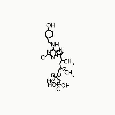 CO[C@H](COP(=O)(O)CP(=O)(O)O)CC(C)c1cnc2c(NCC3CCC(O)CC3)nc(Cl)nn12